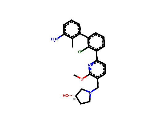 COc1nc(-c2cccc(-c3cccc(N)c3C)c2Cl)ccc1CN1CC[C@H](O)C1